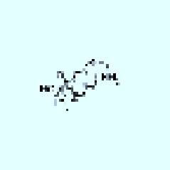 NCCCCC(=O)C(=O)O.NCCCC[C@H](N)C(=O)O